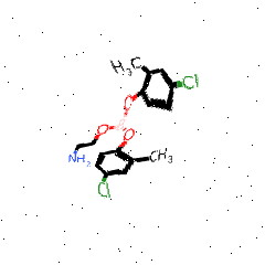 Cc1cc(Cl)ccc1OB(OCCN)Oc1ccc(Cl)cc1C